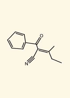 CC/C(C)=C(\C#N)C(=O)c1ccccc1